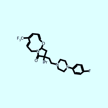 CC(C)C1(CCN2CCN(c3ccc(F)cc3)CC2)CC2O/C=C/C=C(C(F)(F)F)\C=C\CN2C1=O